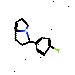 Fc1ccc(C2CCC3=CCCN32)cc1